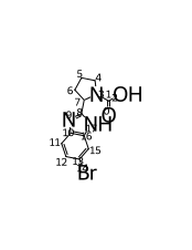 O=C(O)N1CCCC1c1nc2ccc(Br)cc2[nH]1